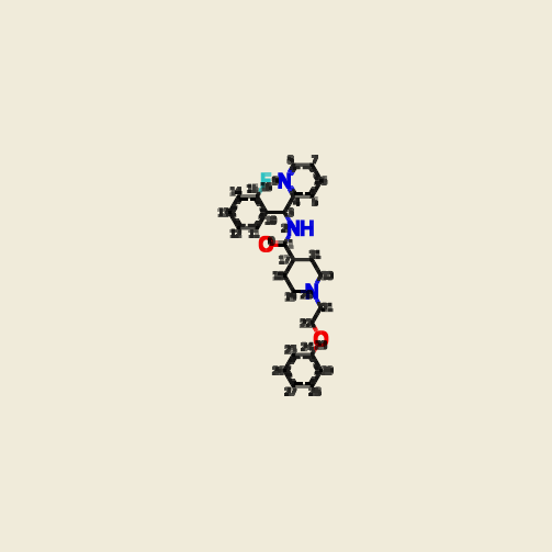 O=C(NC(c1ccccn1)c1ccccc1F)C1CCN(CCOc2ccccc2)CC1